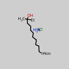 CCCCCCCCCCCCCCCCCCC(C)(O)CC.Cl.N